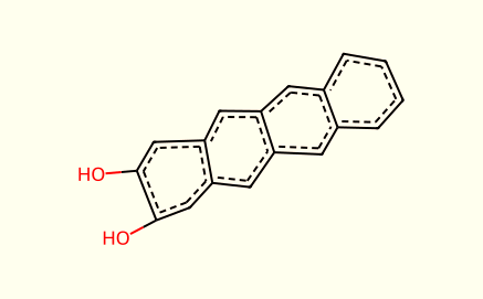 Oc1cc2cc3cc4ccccc4cc3cc2cc1O